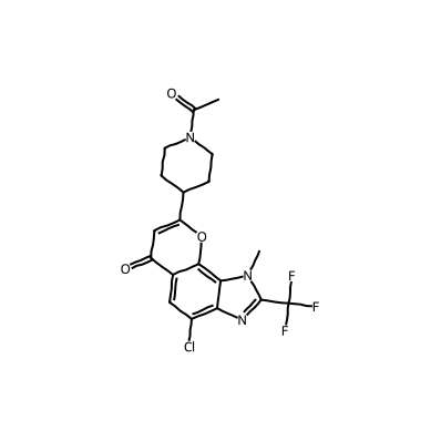 CC(=O)N1CCC(c2cc(=O)c3cc(Cl)c4nc(C(F)(F)F)n(C)c4c3o2)CC1